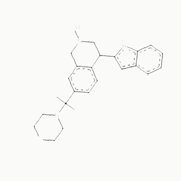 CN1Cc2cc(C(C)(C)N3CCOCC3)ccc2C(c2cc3ccccc3[nH]2)C1